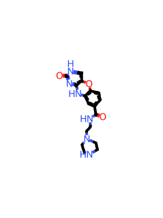 O=C(NCCN1CCNCC1)c1ccc2c(c1)Nc1nc(=O)[nH]cc1O2